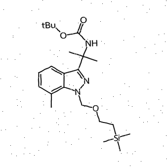 Cc1cccc2c(C(C)(C)NC(=O)OC(C)(C)C)nn(COCC[Si](C)(C)C)c12